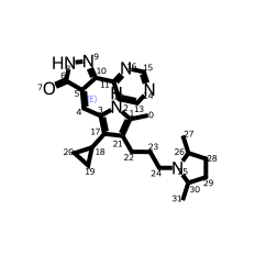 Cc1[nH]c(/C=C2/C(=O)NN=C2c2ccncn2)c(C2CC2)c1CCCN1C(C)CCC1C